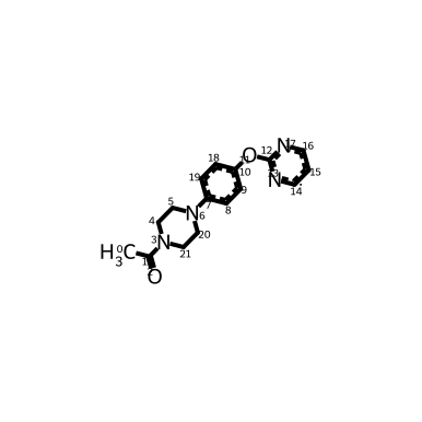 CC(=O)N1CCN(c2ccc(Oc3n[c]ccn3)cc2)CC1